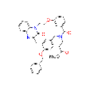 COC(=O)CCN(Cc1ccc(OCc2ccccc2)cc1)C(=O)c1cccc(OCCn2c(=O)c(C)nc3ccccc32)c1